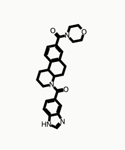 O=C(c1ccc2c(c1)CCC1C2CCCN1C(=O)c1ccc2[nH]cnc2c1)N1CCOCC1